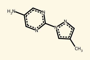 Cc1cnn(-c2ncc(N)cn2)c1